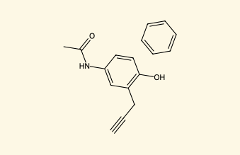 C#CCc1cc(NC(C)=O)ccc1O.c1ccccc1